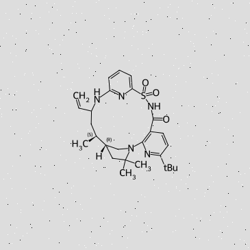 C=CC1C[C@H](C)[C@@H]2CN(c3nc(C(C)(C)C)ccc3C(=O)NS(=O)(=O)c3cccc(n3)N1)C(C)(C)C2